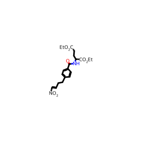 CCOC(=O)CCC(NC(=O)c1ccc(CCC=C[N+](=O)[O-])cc1)C(=O)OCC